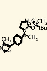 Cc1ncsc1-c1ccc([C@H](C)N2CCCC2O[Si](C)(C)C(C)(C)C)cc1